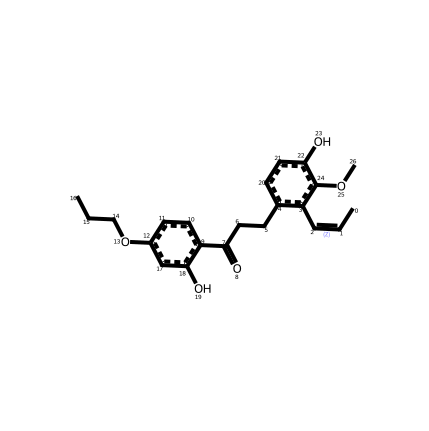 C/C=C\c1c(CCC(=O)c2ccc(OCCC)cc2O)ccc(O)c1OC